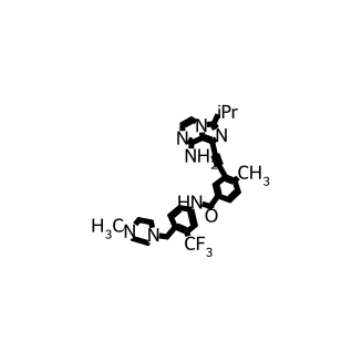 Cc1ccc(C(=O)Nc2ccc(CN3CCN(C)CC3)c(C(F)(F)F)c2)cc1C#Cc1nc(C(C)C)n2ccnc(N)c12